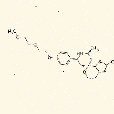 COCCOCCOc1ccc([C@@H]2C[C@]3(C[C@H](C)N2)OCCc2cc(Cl)sc23)cc1